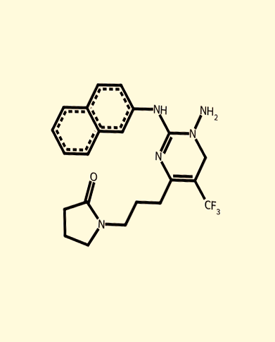 NN1CC(C(F)(F)F)=C(CCCN2CCCC2=O)N=C1Nc1ccc2ccccc2c1